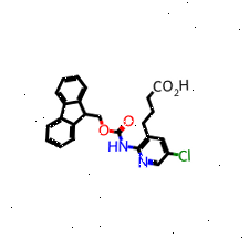 O=C(O)CCCc1cc(Cl)cnc1NC(=O)OCC1c2ccccc2-c2ccccc21